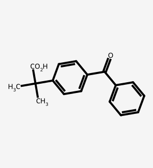 CC(C)(C(=O)O)c1ccc(C(=O)c2ccccc2)cc1